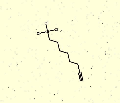 C#CCCCCCC[Si](Cl)(Cl)Cl